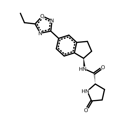 CCc1nc(-c2ccc3c(c2)CC[C@H]3NC(=O)[C@@H]2CCC(=O)N2)no1